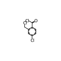 O=C(Cl)c1ccc(Cl)cc1CCl